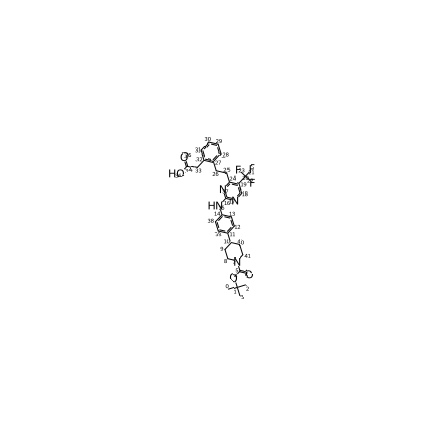 CC(C)(C)OC(=O)N1CCC(c2ccc(Nc3ncc(C(F)(F)F)c(CCc4ccccc4CC(=O)O)n3)cc2)CC1